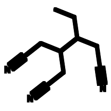 CCC(CC#N)C(CC#N)CC#N